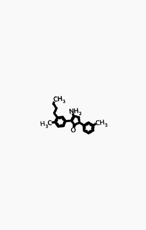 CCCCc1cc(C2=C(N)CC(c3cccc(C)c3)C2=O)ccc1C